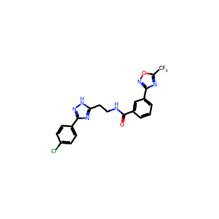 O=C(NCCc1nc(-c2ccc(Cl)cc2)n[nH]1)c1cccc(-c2noc(C(F)(F)F)n2)c1